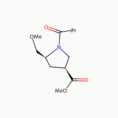 COC[C@@H]1C[C@H](C(=O)OC)CN1C(=O)C(C)C